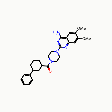 COc1cc2nc(N3CCN(C(=O)C4CCCC(c5ccccc5)C4)CC3)nc(N)c2cc1OC